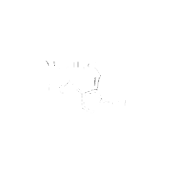 C=C/C(C)=c1/ccn(O)/c1=C/C